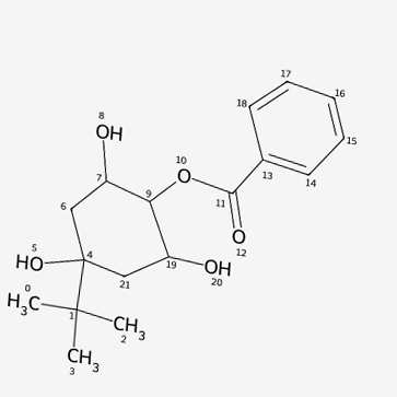 CC(C)(C)C1(O)CC(O)C(OC(=O)c2ccccc2)C(O)C1